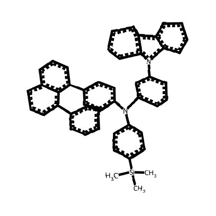 C[Si](C)(C)c1ccc(N(c2ccc(-c3cccc4cccc(-c5ccccc5)c34)cc2)c2cccc(-n3c4ccccc4c4ccccc43)c2)cc1